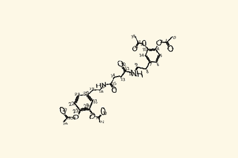 CC(=O)Oc1ccc(CCNC(=O)CCC(=O)NCCc2ccc(OC(C)=O)c(OC(C)=O)c2)cc1OC(C)=O